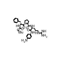 CC(C)(C)OC(=O)N[C@H](Cc1ccccc1)C(=O)N1CCC[C@H]1C(=O)N[C@@H](CCCNC(=N)N)C(=O)Nc1ccc(N)cc1